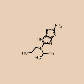 CC(O)N(CCO)c1nc2sc(N)cc2[nH]1